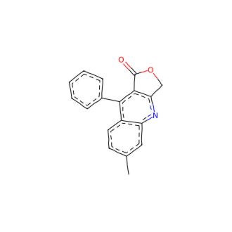 Cc1ccc2c(-c3ccccc3)c3c(nc2c1)COC3=O